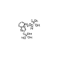 CC.O.O=P(O)(O)O.O=P(O)(O)O.c1ccn2ccnc2c1